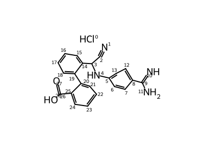 Cl.N#CC(Nc1ccc(C(=N)N)cc1)c1ccccc1-c1ccccc1C(=O)O